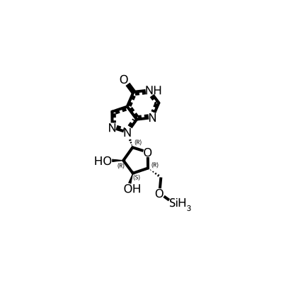 O=c1[nH]cnc2c1cnn2[C@@H]1O[C@H](CO[SiH3])[C@@H](O)[C@H]1O